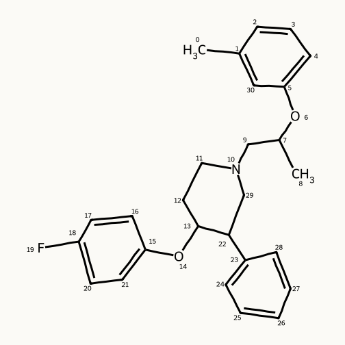 Cc1cccc(OC(C)CN2CCC(Oc3ccc(F)cc3)C(c3ccccc3)C2)c1